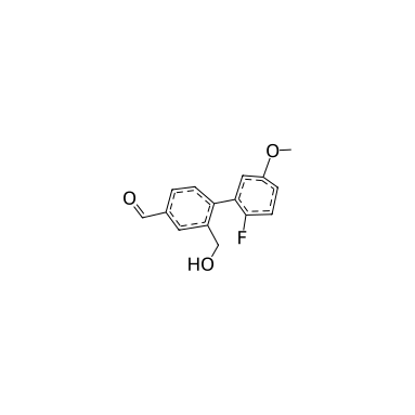 COc1ccc(F)c(-c2ccc(C=O)cc2CO)c1